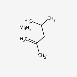 [CH2]C(=C)CC(C)C.[MgH2]